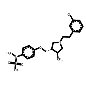 C[C@@H]1CN(CCc2cccc(Cl)c2)C[C@H]1COc1ccc(N(C)S(C)(=O)=O)cc1